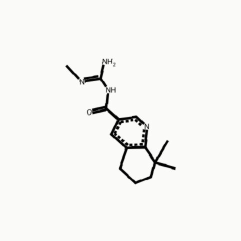 CN=C(N)NC(=O)c1cnc2c(c1)CCCC2(C)C